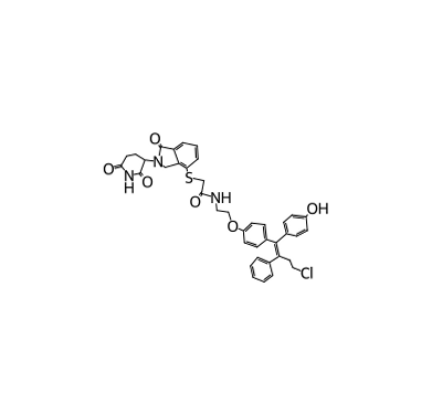 O=C(CSc1cccc2c1CN(C1CCC(=O)NC1=O)C2=O)NCCOc1ccc(/C(=C(/CCCl)c2ccccc2)c2ccc(O)cc2)cc1